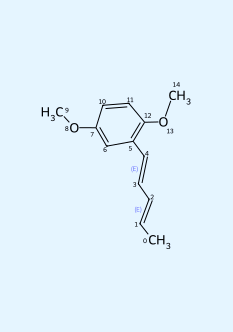 C/C=C/C=C/c1cc(OC)ccc1OC